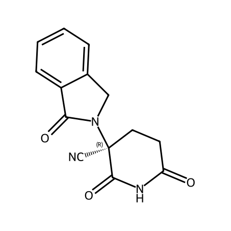 N#C[C@]1(N2Cc3ccccc3C2=O)CCC(=O)NC1=O